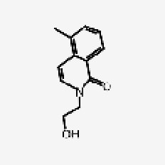 Cc1cccc2c(=O)n(CCO)ccc12